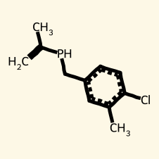 C=C(C)PCc1ccc(Cl)c(C)c1